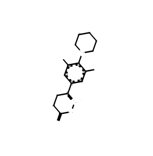 O=C1CCC(c2cc(F)c(N3CCCCC3)c(F)c2)=NN1